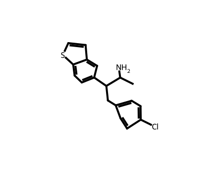 CC(N)C(Cc1ccc(Cl)cc1)c1ccc2sccc2c1